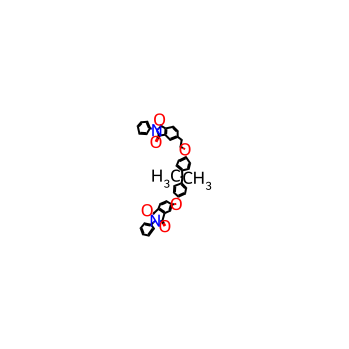 CC(C)(c1ccc(OCCc2ccc3c(c2)C(=O)N(c2ccccc2)C3=O)cc1)c1ccc(Oc2ccc3c(c2)C(=O)N(c2ccccc2)C3=O)cc1